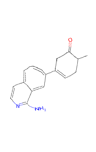 CC1CC=C(c2ccc3ccnc(N)c3c2)CC1=O